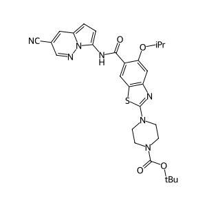 CC(C)Oc1cc2nc(N3CCN(C(=O)OC(C)(C)C)CC3)sc2cc1C(=O)Nc1ccc2cc(C#N)cnn12